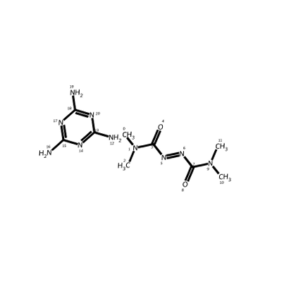 CN(C)C(=O)N=NC(=O)N(C)C.Nc1nc(N)nc(N)n1